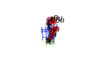 CC(C)(C)OC(=O)C1CC(CNNC(=O)Nc2cc3c(Nc4ccc(F)c(Cl)c4)ncnc3cc2OC2CCOC2)CCN1C(=O)OC(C)(C)C